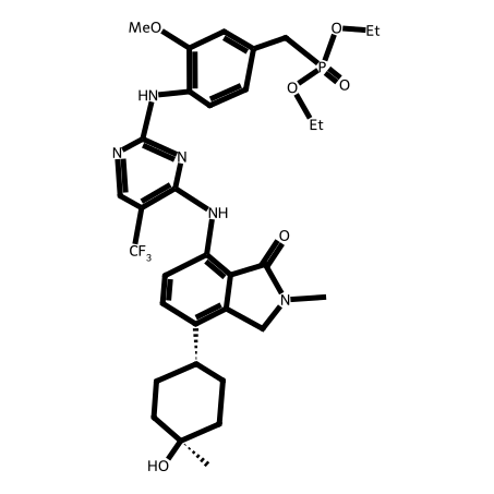 CCOP(=O)(Cc1ccc(Nc2ncc(C(F)(F)F)c(Nc3ccc([C@H]4CC[C@](C)(O)CC4)c4c3C(=O)N(C)C4)n2)c(OC)c1)OCC